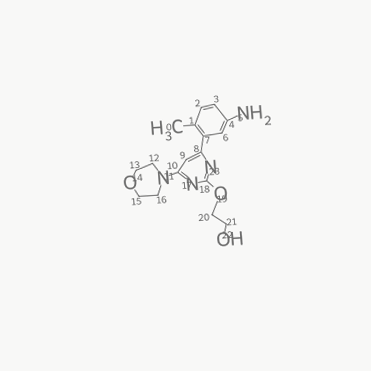 Cc1ccc(N)cc1-c1cc(N2CCOCC2)nc(OCCO)n1